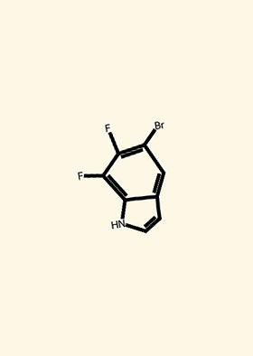 Fc1c(Br)cc2cc[nH]c2c1F